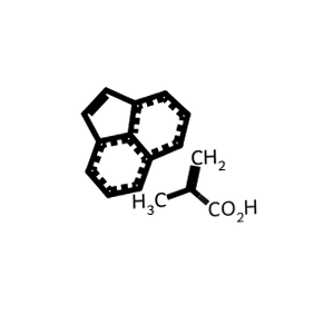 C1=Cc2cccc3cccc1c23.C=C(C)C(=O)O